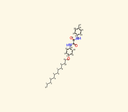 CCCCCCCCCCCCOc1ccc(NC(=O)C(=O)Nc2ccc(C)cc2)cc1